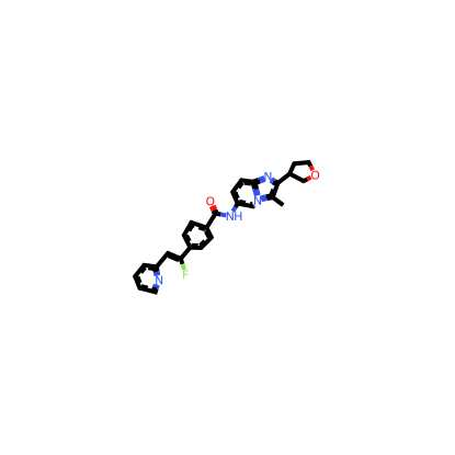 Cc1c(C2CCOC2)nc2ccc(NC(=O)c3ccc(/C(F)=C/c4ccccn4)cc3)cn12